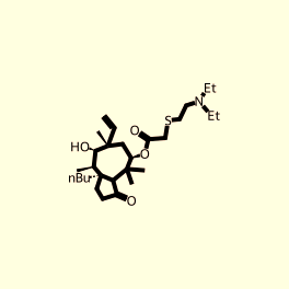 C=C[C@]1(C)C[C@@H](OC(=O)CSCCN(CC)CC)C(C)(C)C2C(=O)CC[C@@]2(CCCC)[C@@H](C)[C@@H]1O